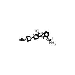 CCCCN1CCN(c2ccc(-c3nc4c(OC(N)=O)cccc4[nH]3)cn2)CC1.Cl